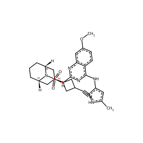 COc1ccc2c(Nc3cc(C)[nH]n3)nc(N[C@@H]3C[C@H]4CCC[C@@H](C3)N4S(=O)(=O)N3CC(C#N)C3)nc2c1